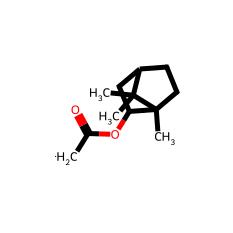 [CH2]C(=O)OC1CC2CCC1(C)C2(C)C